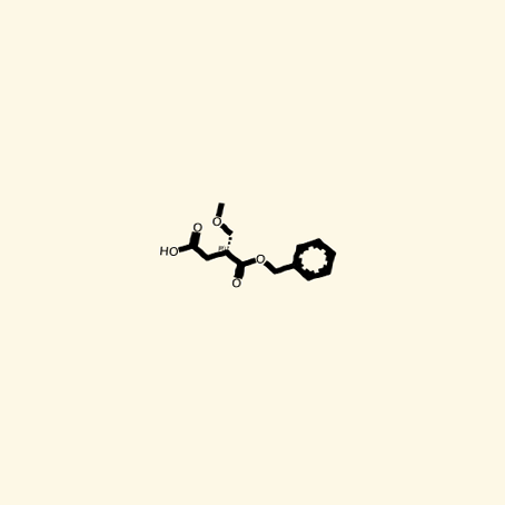 COC[C@@H](CC(=O)O)C(=O)OCc1ccccc1